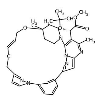 COC(=O)[C@@H](OC(C)(C)C)c1c(C)nc2cc3nn2c1N1CCC(C)(CC1)OC/C=C/CCc1ccn(n1)-c1cccc-3c1